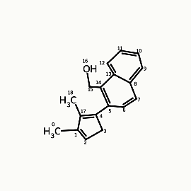 CC1=CCC(c2ccc3ccccc3c2CO)=C1C